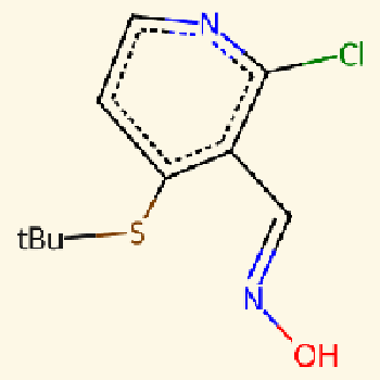 CC(C)(C)Sc1ccnc(Cl)c1C=NO